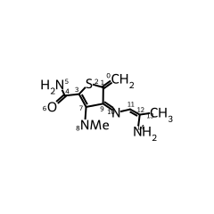 C=C1SC(C(N)=O)=C(NC)/C1=N/C=C(/C)N